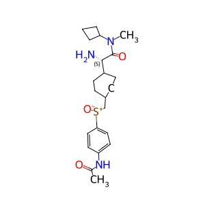 CC(=O)Nc1ccc([S+]([O-])CC2CCC([C@H](N)C(=O)N(C)C3CCC3)CC2)cc1